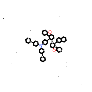 c1ccc(-c2ccc(N(c3ccc(-c4ccccc4)cc3)c3ccc(-c4c(-c5ccc6oc7ccccc7c6c5-c5ccc6ccccc6c5)ccc5oc6ccccc6c45)cc3)cc2)cc1